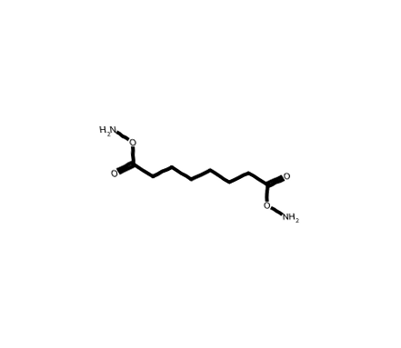 NOC(=O)CCCCCCC(=O)ON